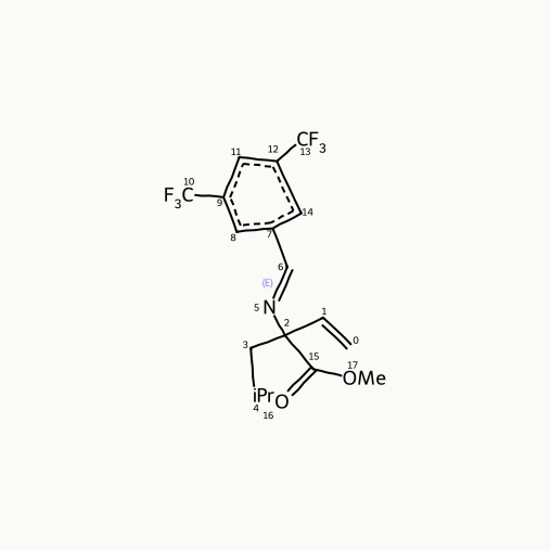 C=CC(CC(C)C)(/N=C/c1cc(C(F)(F)F)cc(C(F)(F)F)c1)C(=O)OC